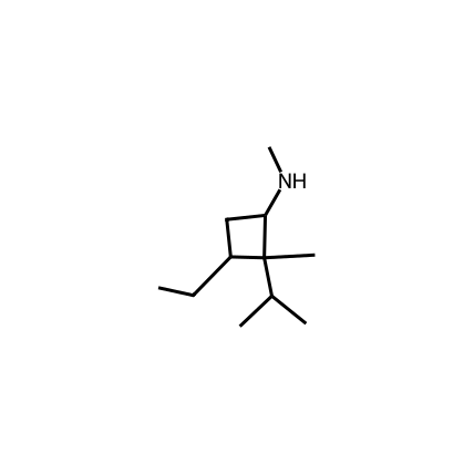 CCC1CC(NC)C1(C)C(C)C